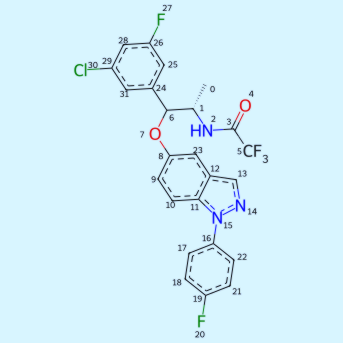 C[C@H](NC(=O)C(F)(F)F)C(Oc1ccc2c(cnn2-c2ccc(F)cc2)c1)c1cc(F)cc(Cl)c1